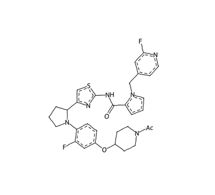 CC(=O)N1CCC(Oc2ccc(N3CCCC3c3csc(NC(=O)c4cccn4Cc4ccnc(F)c4)n3)c(F)c2)CC1